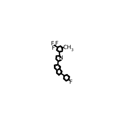 Cc1cc(-c2ccc(-c3ccc4ccc(-c5ccc(F)cc5)cc4c3)cn2)cc(C(F)(F)F)c1